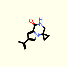 C=C(C)c1cc2n(c1)C1(CC1)CNC2=O